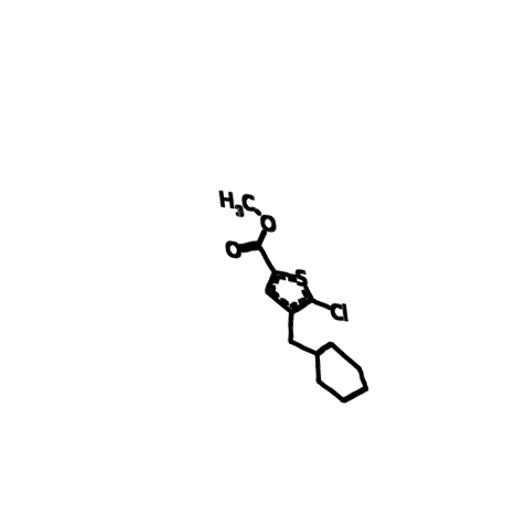 COC(=O)c1cc(CC2CCCCC2)c(Cl)s1